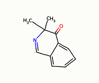 CC1(C)N=[C]c2ccccc2C1=O